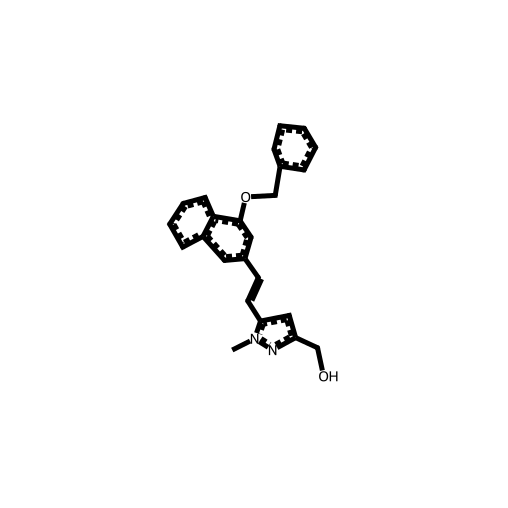 Cn1nc(CO)cc1C=Cc1cc(OCc2ccccc2)c2ccccc2c1